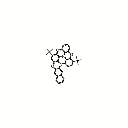 CC(C)(C)c1ccc2c3c1oc1cccc4oc5c(C(C)(C)C)cc6oc7cc8ccccc8cc7n2c6c5p3c14